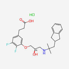 CC(C)(CC1Cc2ccccc2C1)NC[C@@H](O)COc1cc(CCC(=O)O)cc(F)c1F.Cl